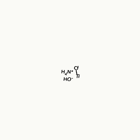 [Cl][Ti].[NH4+].[OH-]